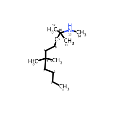 CCCCC(C)(C)CCCC(C)(C)NC